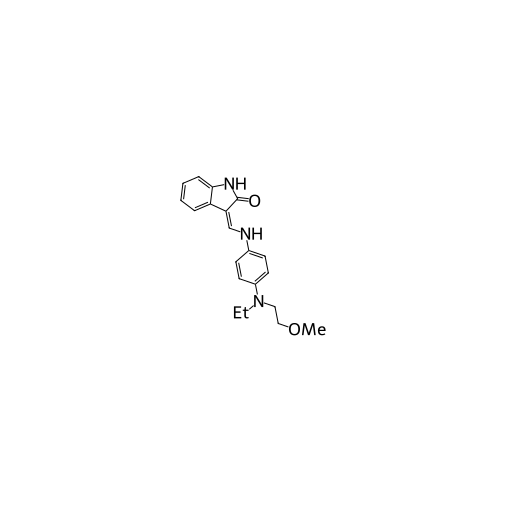 CCN(CCOC)c1ccc(NC=C2C(=O)Nc3ccccc32)cc1